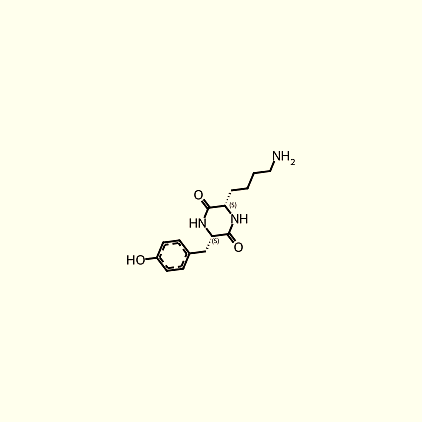 NCCCC[C@@H]1NC(=O)[C@H](Cc2ccc(O)cc2)NC1=O